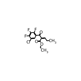 CCC=C(C(=O)OCC)C(=O)c1cc(Cl)c(F)c(F)c1F